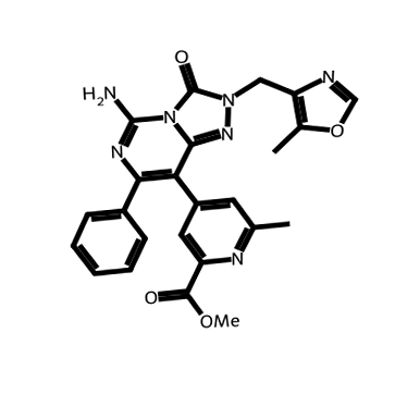 COC(=O)c1cc(-c2c(-c3ccccc3)nc(N)n3c(=O)n(Cc4ncoc4C)nc23)cc(C)n1